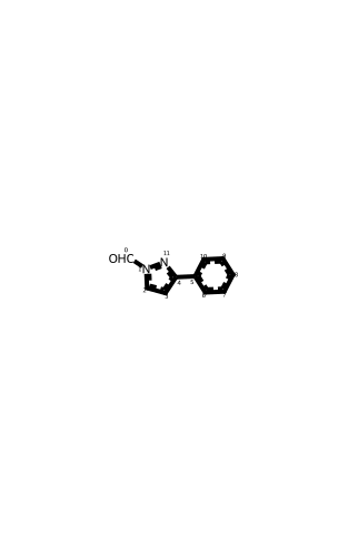 O=Cn1ccc(-c2ccccc2)n1